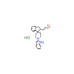 Cl.O=CCCC1Cc2ccccc2C12CCN(c1cc3ccccc3[nH]1)CC2